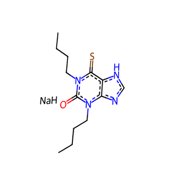 CCCCn1c(=S)c2[nH]cnc2n(CCCC)c1=O.[NaH]